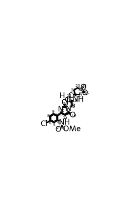 COC(=O)Nc1cc(Cl)ccc1-c1cc(=O)n(CC(=O)NC2(C)CCS(=O)(=O)C2)c(C)n1